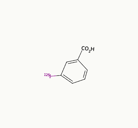 O=C(O)c1cccc([125I])c1